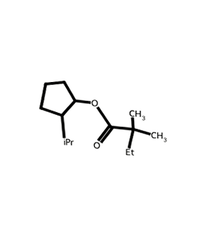 CCC(C)(C)C(=O)OC1CCCC1C(C)C